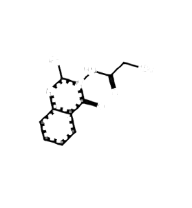 CC(C)c1nc2ccccc2c(=O)n1NC(=O)CC(C)(C)C